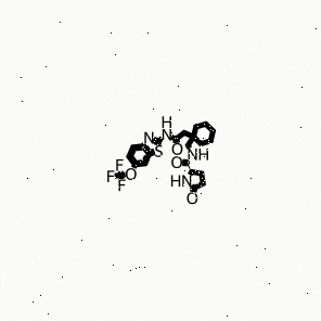 O=C(CC1(CNC(=O)[C@@H]2CCC(=O)N2)CCCCC1)Nc1nc2ccc(OC(F)(F)F)cc2s1